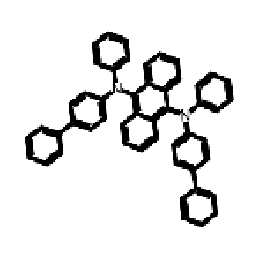 C1=CC(c2ccc(N(c3ccccc3)c3c4ccccc4c(N(c4ccccc4)c4ccc(-c5ccccc5)cc4)c4ccccc34)cc2)=CCC1